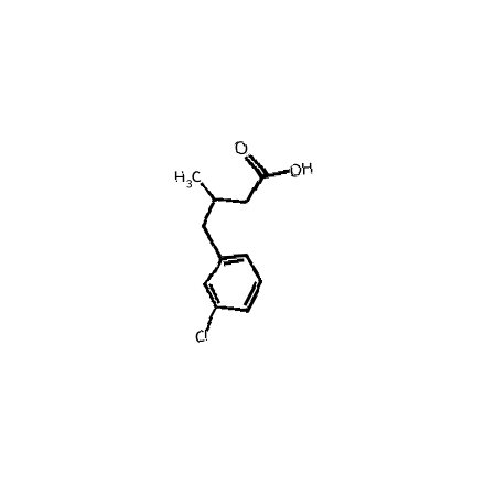 CC(CC(=O)O)Cc1cccc(Cl)c1